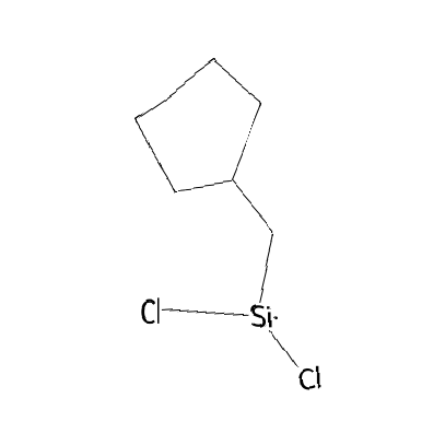 Cl[Si](Cl)CC1CCCC1